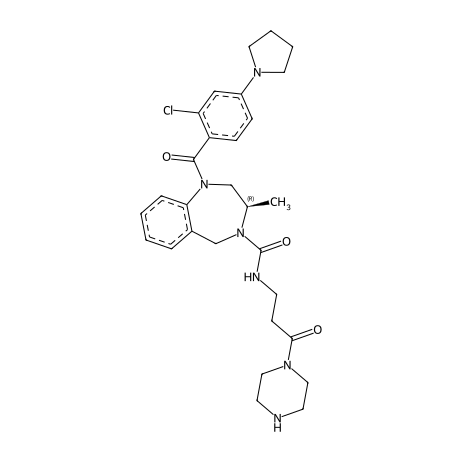 C[C@@H]1CN(C(=O)c2ccc(N3CCCC3)cc2Cl)c2ccccc2CN1C(=O)NCCC(=O)N1CCNCC1